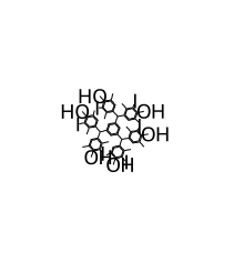 Cc1cc(C(c2cc(C(c3cc(C)c(O)c(I)c3C)c3cc(C)c(O)c(I)c3C)cc(C(c3cc(C)c(O)c(I)c3C)c3cc(C)c(O)c(I)c3C)c2)c2cc(C)c(O)c(I)c2C)c(C)c(I)c1O